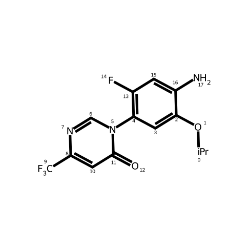 CC(C)Oc1cc(-n2cnc(C(F)(F)F)cc2=O)c(F)cc1N